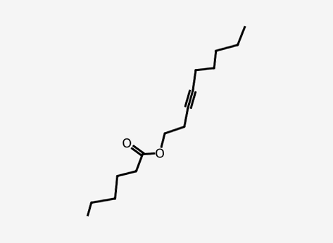 CCCCCC#CCCOC(=O)CCCCC